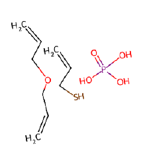 C=CCOCC=C.C=CCS.O=P(O)(O)O